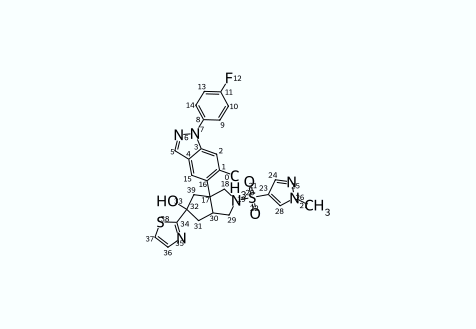 Cc1cc2c(cnn2-c2ccc(F)cc2)cc1C12CN(S(=O)(=O)c3cnn(C)c3)CC1CC(O)(c1nccs1)C2